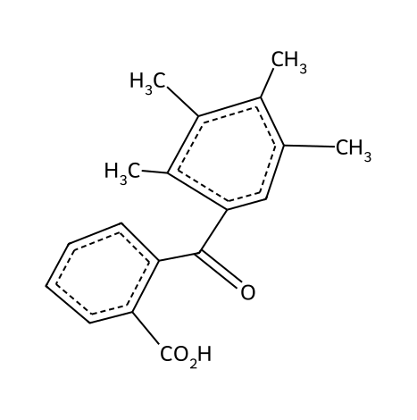 Cc1cc(C(=O)c2ccccc2C(=O)O)c(C)c(C)c1C